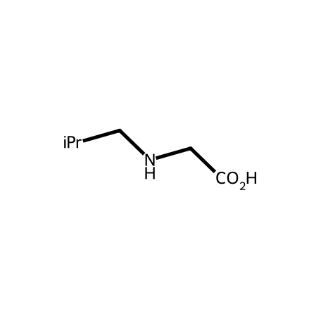 CC(C)CNCC(=O)O